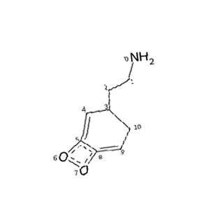 NCCC1C=c2ooc2=CC1